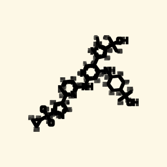 Cn1nc(-c2cnc(Nc3ccnc(-c4cnn(S(=O)(=O)C5CC5)c4)n3)cc2NC2CCC(C(C)(C)O)CC2)cc1C(C)(C)O